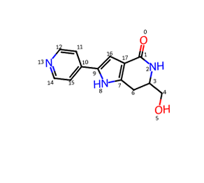 O=C1NC(CO)Cc2[nH]c(-c3ccncc3)cc21